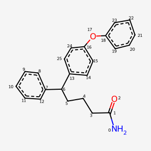 NC(=O)CCCC(c1ccccc1)c1ccc(Oc2ccccc2)cc1